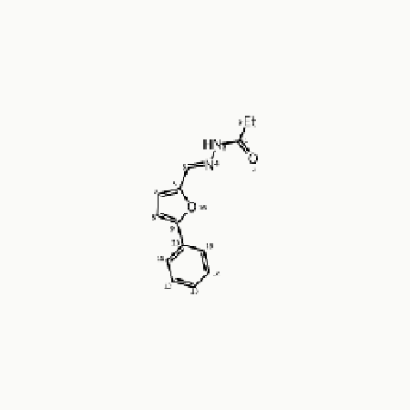 CCC(=O)NN=Cc1ccc(-c2ccccc2)o1